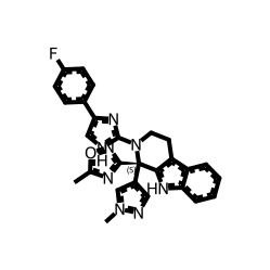 Cc1nc([C@]2(c3cnn(C)c3)c3[nH]c4ccccc4c3CCN2c2nc(-c3ccc(F)cc3)c[nH]2)no1